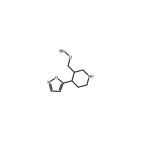 CC(C)(C)OCC1CNCCC1c1ccno1